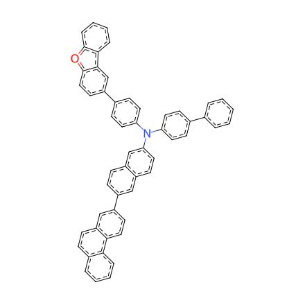 c1ccc(-c2ccc(N(c3ccc(-c4ccc5oc6ccccc6c5c4)cc3)c3ccc4cc(-c5ccc6c(ccc7ccccc76)c5)ccc4c3)cc2)cc1